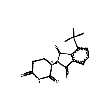 CC(C)(C)c1cccc2c1C(=O)N([C@@H]1CCC(=O)NC1=O)C2=O